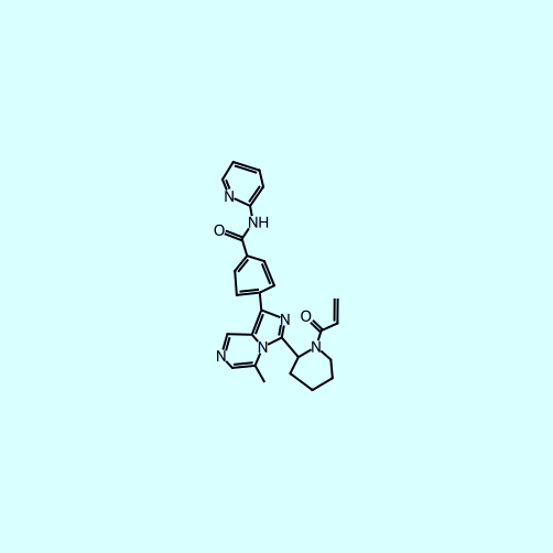 C=CC(=O)N1CCCCC1c1nc(-c2ccc(C(=O)Nc3ccccn3)cc2)c2cncc(C)n12